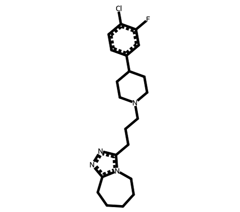 Fc1cc(C2CCN(CCCc3nnc4n3CCCCC4)CC2)ccc1Cl